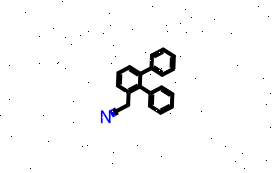 N#CCc1cccc(-c2ccccc2)c1-c1ccccc1